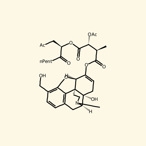 CCCCCC(=O)[C@@H](CC(C)=O)OC(=O)[C@H](OC(C)=O)[C@@H](C)C(=O)OC1=CC[C@@]2(O)[C@H]3Cc4ccc(CO)c5c4[C@@]2(CCN3C)[C@H]1O5